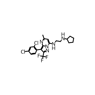 Cc1cc(NCCNC2CCCC2)n2nc(C(F)(F)F)c(-c3ccc(Cl)cc3Cl)c2n1